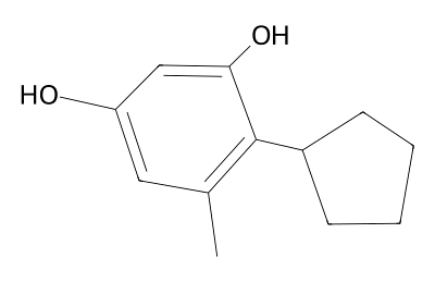 Cc1cc(O)cc(O)c1C1CCCC1